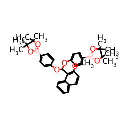 COc1ccc2ccccc2c1C(Oc1ccc(B2OC(C)(C)C(C)(C)O2)cc1)Oc1ccc(B2OC(C)(C)C(C)(C)O2)cc1